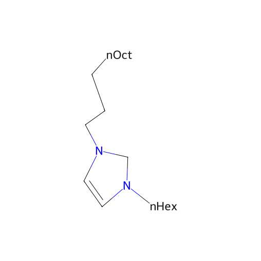 CCCCCCCCCCCN1C=CN(CCCCCC)C1